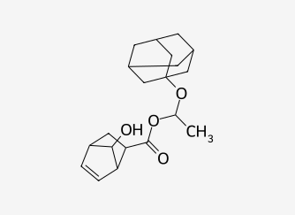 CC(OC(=O)C1CC2C=CC1C2O)OC12CC3CC(CC(C3)C1)C2